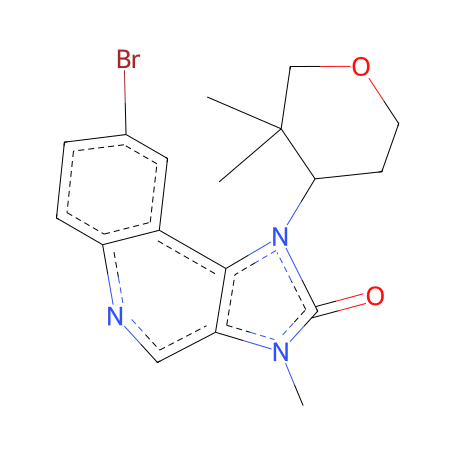 Cn1c(=O)n(C2CCOCC2(C)C)c2c3cc(Br)ccc3ncc21